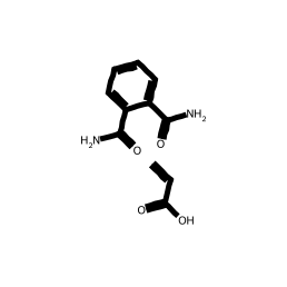 C=CC(=O)O.NC(=O)c1ccccc1C(N)=O